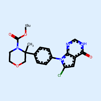 CC(C)(C)OC(=O)N1CCOCC1(C)c1ccc(-n2c(Cl)cc3c(=O)[nH]cnc32)cc1